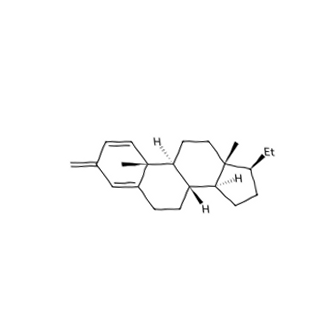 C=C1C=C[C@@]2(C)C(=C1)CC[C@H]1[C@@H]3CC[C@H](CC)[C@@]3(C)CC[C@@H]12